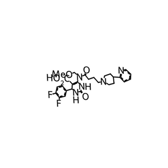 COCN(C(=O)CCCN1CCC(c2ccccn2)CC1)C1=C(C(=O)O)C(c2ccc(F)c(F)c2)NC(=O)N1